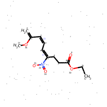 C=C(/C=C\C=C(/CCC(=O)OCC)[N+](=O)[O-])OC